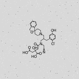 N#CCN(CC(Cc1cc(O)ccc1Cl)CN1CCC2(CC1)OCc1ccccc12)C(=O)CC(O)(CC(=O)O)C(=O)O